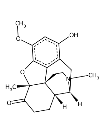 COc1cc(O)c2c3c1O[C@@]1(C)C(=O)CC[C@H]4[C@@H](C2)N(C)CC[C@@]341